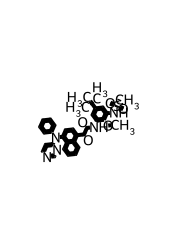 COc1c(NC(=O)C(=O)c2ccc(N(c3ccccc3)c3ccncn3)c3ccccc23)cc(C(C)(C)C)cc1NS(C)(=O)=O